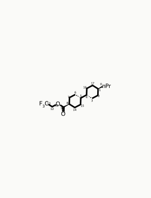 CCC[C@H]1CC[C@H]([C@H]2CC[C@H](C(=O)OCC(F)(F)F)CC2)CC1